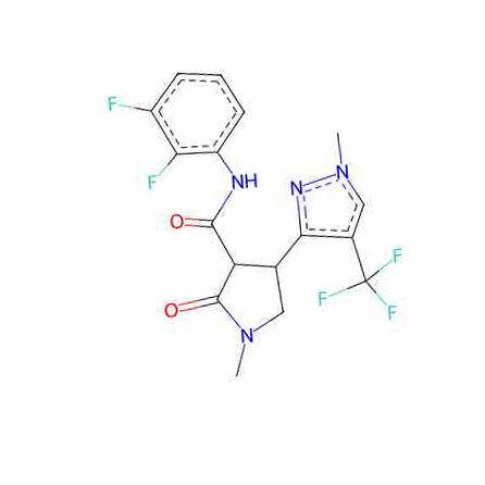 CN1CC(c2nn(C)cc2C(F)(F)F)C(C(=O)Nc2cccc(F)c2F)C1=O